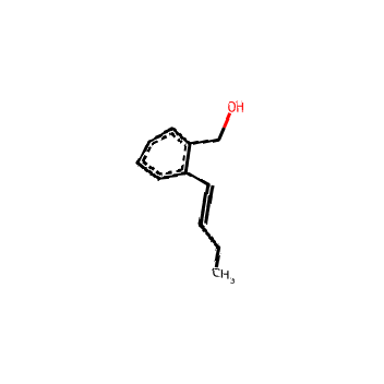 CC/C=C/c1ccccc1CO